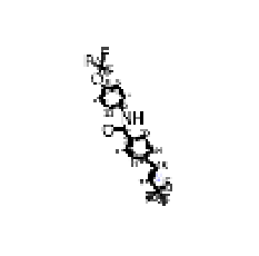 O=C(Nc1ccc(OC(F)(F)F)cc1)c1ccc(/C=C/C(F)(F)F)cc1